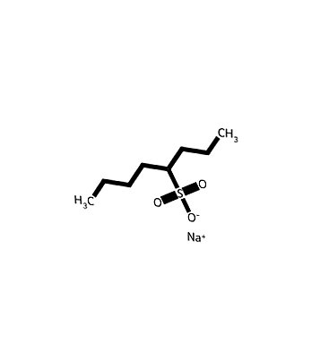 CCCCC(CCC)S(=O)(=O)[O-].[Na+]